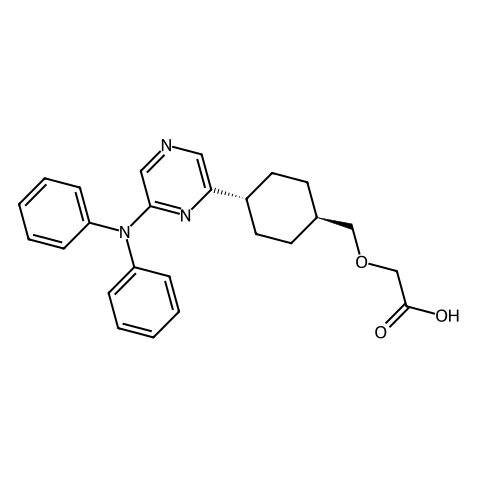 O=C(O)COC[C@H]1CC[C@H](c2cncc(N(c3ccccc3)c3ccccc3)n2)CC1